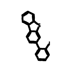 Ic1ccccc1-c1ccc2c(c1)sc1ccccc12